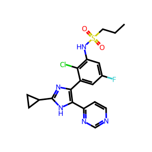 CCCS(=O)(=O)Nc1cc(F)cc(-c2nc(C3CC3)[nH]c2-c2ccncn2)c1Cl